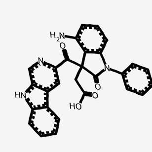 Nc1cccc2c1C(CC(=O)O)(C(=O)c1cc3c(cn1)[nH]c1ccccc13)C(=O)N2c1ccccc1